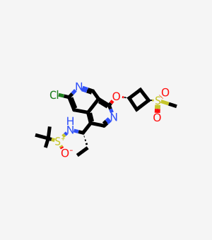 CC[C@H](N[S+]([O-])C(C)(C)C)c1cnc(O[C@H]2C[C@@H](S(C)(=O)=O)C2)c2cnc(Cl)cc12